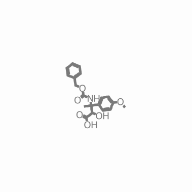 COc1ccc(C(C)(NC(=O)OCc2ccccc2)C(O)C(=O)O)cc1